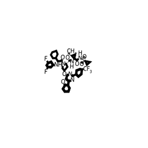 C=C[C@@H]1C[C@]1(NC(=O)[C@@H]1C[C@@H](Oc2nc(-c3ccc(C(F)(F)F)cc3)nc3c2oc2ccccc23)CN1C(=O)[C@@H](Nc1cc(F)cc(F)c1)C1CCCCC1)C(=O)NS(=O)(=O)C1CC1